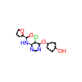 O=C(Nc1ncnc(Oc2ccc(O)cc2)c1Cl)c1ccco1